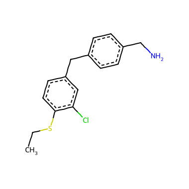 CCSc1ccc(Cc2ccc(CN)cc2)cc1Cl